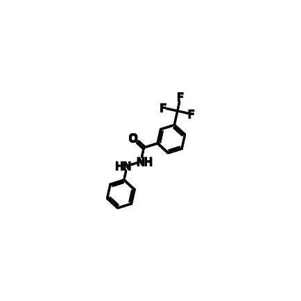 O=C(NNc1ccccc1)c1cccc(C(F)(F)F)c1